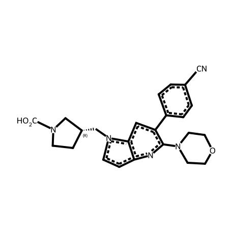 N#Cc1ccc(-c2cc3c(ccn3C[C@@H]3CCN(C(=O)O)C3)nc2N2CCOCC2)cc1